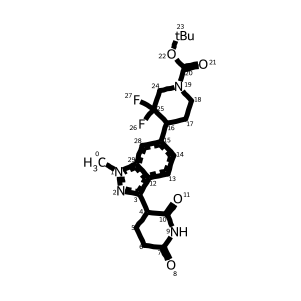 Cn1nc(C2CCC(=O)NC2=O)c2ccc(C3CCN(C(=O)OC(C)(C)C)CC3(F)F)cc21